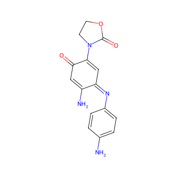 NC1=CC(=O)C(N2CCOC2=O)=C/C1=N/c1ccc(N)cc1